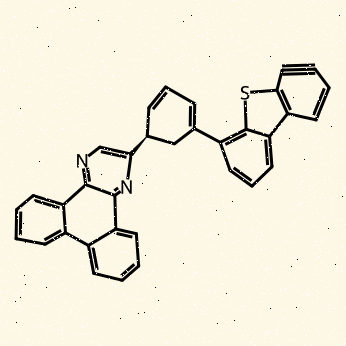 c1ccc2c(c#1)sc1c(C3=CC=C[C@H](c4cnc5c6ccccc6c6ccccc6c5n4)C3)cccc12